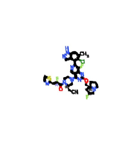 Cc1cc2[nH]ncc2c(-c2ncc3c(N4CCN(C(=O)/C(F)=C/c5nccs5)[C@@H](CC#N)C4)nc(OC[C@@]45CCCN4C[C@H](F)C5)nc3c2F)c1Cl